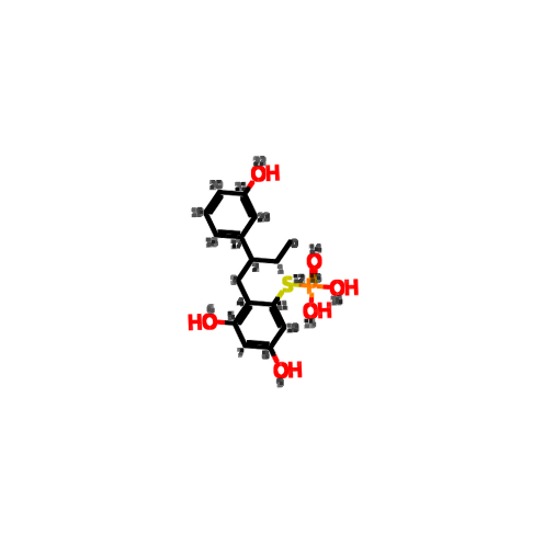 CCC(Cc1c(O)cc(O)cc1SP(=O)(O)O)c1cccc(O)c1